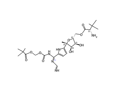 CC(C)(C)C(=O)OCOC(=O)N/C(=N/C=N)c1ccc([C@]2(C)O[C@H](COC(=O)[C@@H](N)C(C)(C)C)[C@@H](O)[C@H]2O)[nH]1